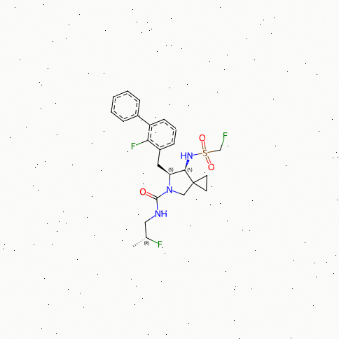 C[C@@H](F)CNC(=O)N1CC2(CC2)[C@H](NS(=O)(=O)CF)[C@@H]1Cc1cccc(-c2ccccc2)c1F